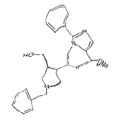 COc1nc(C2CN(Cc3ccccc3)CC2CO)cn2c(-c3ccccc3)ncc12